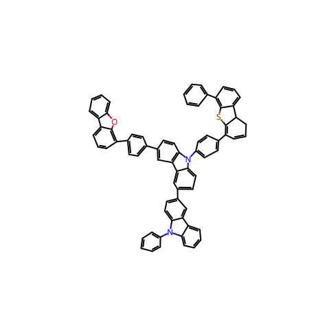 C1=CC(c2ccc(-n3c4ccc(-c5ccc(-c6cccc7c6oc6ccccc67)cc5)cc4c4cc(-c5ccc6c(c5)c5ccccc5n6-c5ccccc5)ccc43)cc2)=C2Sc3c(-c4ccccc4)cccc3C2C1